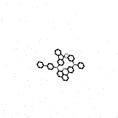 CC1(C)c2ccccc2-c2cc(N(c3ccc(-c4ccccc4)cc3)c3ccc4cccc5c4c3Oc3cc(N(c4ccccc4)c4ccccc4)ccc3-5)ccc21